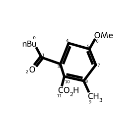 CCCCC(=O)c1cc(OC)cc(C)c1C(=O)O